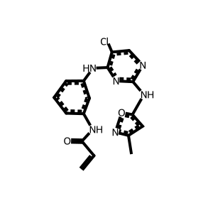 C=CC(=O)Nc1cccc(Nc2nc(Nc3cc(C)no3)ncc2Cl)c1